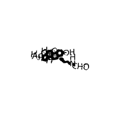 CC(=O)[C@H]1CC[C@H]2[C@@H]3CC[C@]4(C#CCCCNC=O)C[C@H](O)CC[C@]4(C)[C@H]3CC[C@]12C